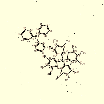 Fc1cc([B-](c2cc(F)c(F)c(F)c2)(c2cc(F)c(F)c(F)c2)c2cc(F)c(F)c(F)c2)cc(F)c1F.c1ccc([C+](c2ccccc2)c2ccccc2)cc1